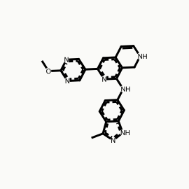 COc1ncc(-c2cc3c(c(Nc4ccc5c(C)n[nH]c5c4)n2)CNC=C3)cn1